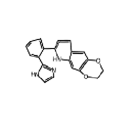 C1=Cc2cc3c(cc2NC=1c1ccccc1-c1ncc[nH]1)OCCO3